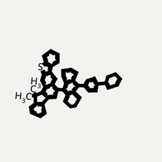 CC1(C)c2ccccc2-c2cc(-c3c4c(c(-c5ccc(C6=CC=CCC6)cc5)c5ccccc35)=CCCC=4)c3cc4c(cc3c21)sc1ccccc14